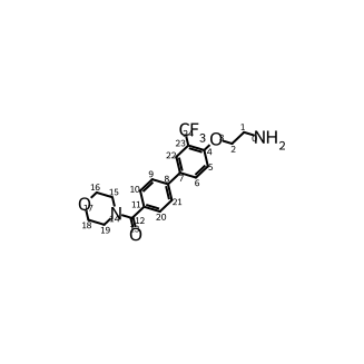 NCCOc1ccc(-c2ccc(C(=O)N3CCOCC3)cc2)cc1C(F)(F)F